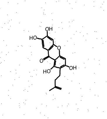 C=C(C)CCc1c(O)cc2oc3cc(O)c(O)cc3c(=O)c2c1O